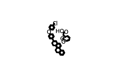 Clc1ccc(Oc2ccc(C3=Cc4ccc5c(c4CC3)CCc3ccccc3-5)cc2)cc1.O=C(O)CC1C=CC=CS1(=O)=O